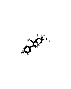 CC1(C)Cc2c(Br)c(-c3ccc(F)cc3)nn2C1